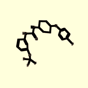 O=C(Nc1cccc(OC(F)(F)F)c1)NC1CCC(Oc2ccc(F)cc2)CC1